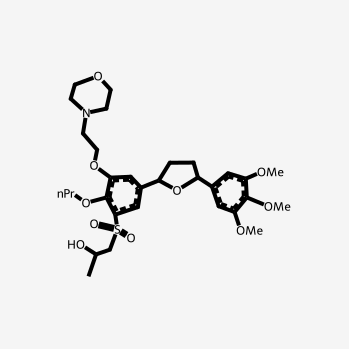 CCCOc1c(OCCN2CCOCC2)cc(C2CCC(c3cc(OC)c(OC)c(OC)c3)O2)cc1S(=O)(=O)CC(C)O